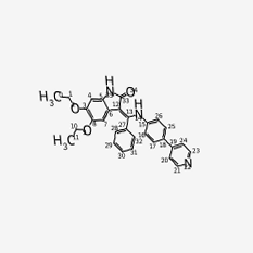 CCOc1cc2c(cc1OCC)/C(=C(/Nc1ccc(-c3ccncc3)cc1)c1ccccc1)C(=O)N2